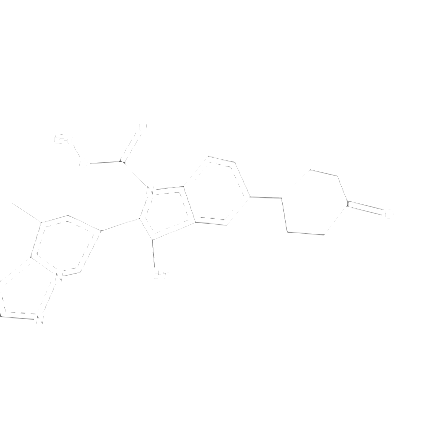 Cc1cc(-c2c(C(C)C)c3cc(C4CCC(=O)CC4)ccc3n2C(=O)OC(C)(C)C)cn2ncnc12